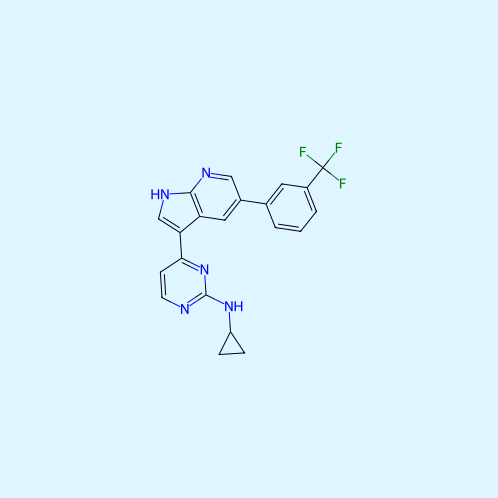 FC(F)(F)c1cccc(-c2cnc3[nH]cc(-c4ccnc(NC5CC5)n4)c3c2)c1